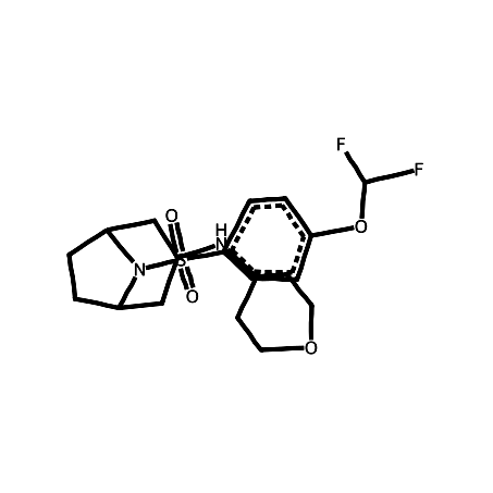 O=S(=O)(c1ccc(OC(F)F)cc1)N1C2CCC1CC(NC1CCOCC1)C2